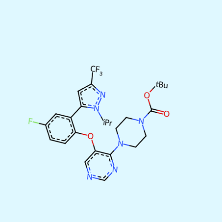 CC(C)n1nc(C(F)(F)F)cc1-c1cc(F)ccc1Oc1cncnc1N1CCN(C(=O)OC(C)(C)C)CC1